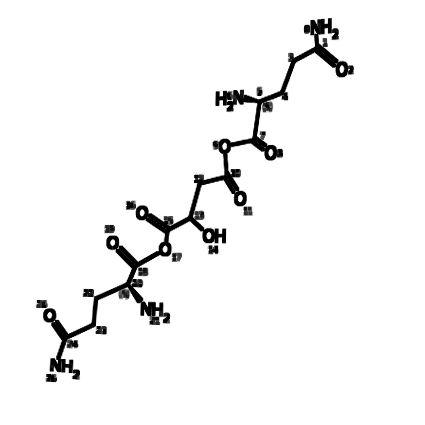 NC(=O)CC[C@H](N)C(=O)OC(=O)CC(O)C(=O)OC(=O)[C@@H](N)CCC(N)=O